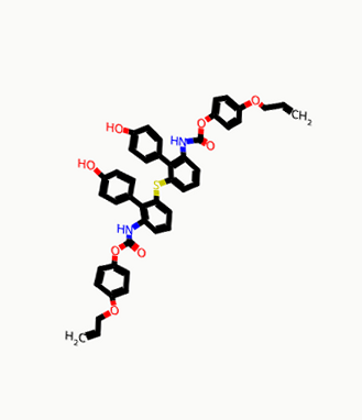 C=CCOc1ccc(OC(=O)Nc2cccc(Sc3cccc(NC(=O)Oc4ccc(OCC=C)cc4)c3-c3ccc(O)cc3)c2-c2ccc(O)cc2)cc1